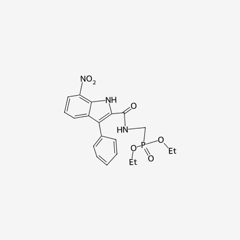 CCOP(=O)(CNC(=O)c1[nH]c2c([N+](=O)[O-])cccc2c1-c1ccccc1)OCC